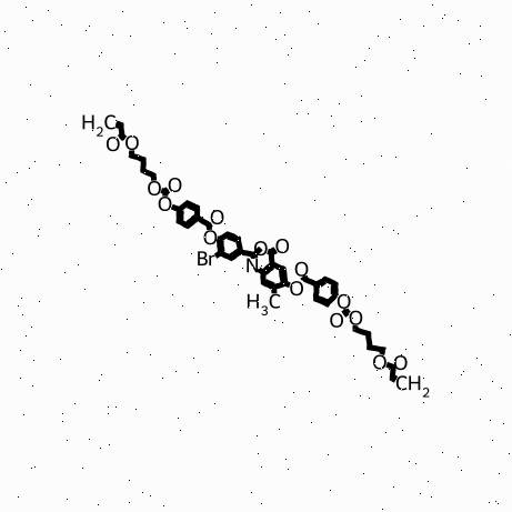 C=CC(=O)OCCCCOC(=O)Oc1ccc(C(=O)Oc2cc3c(=O)oc(-c4ccc(OC(=O)c5ccc(OC(=O)OCCCCOC(=O)C=C)cc5)c(Br)c4)nc3cc2C)cc1